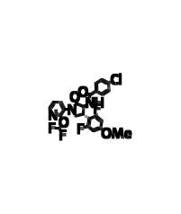 COc1cc(F)c([C@@H]2CN(c3cccnc3OC(F)F)C(=O)C2NC(=O)c2ccc(Cl)cc2)c(F)c1